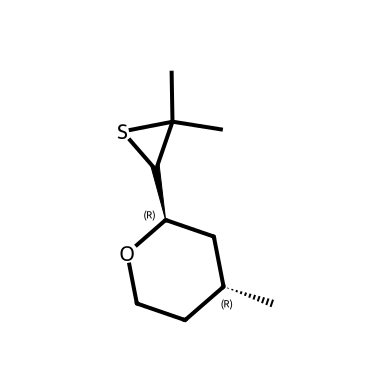 C[C@@H]1CCO[C@@H](C2SC2(C)C)C1